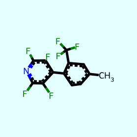 Cc1ccc(-c2c(F)c(F)nc(F)c2F)c(C(F)(F)F)c1